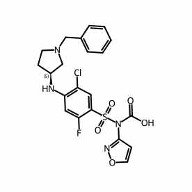 O=C(O)N(c1ccon1)S(=O)(=O)c1cc(Cl)c(N[C@H]2CCN(Cc3ccccc3)C2)cc1F